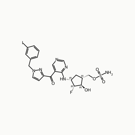 NS(=O)(=O)OC[C@H]1C[C@@H](Nc2ncncc2C(=O)c2ccn(Cc3cccc(I)c3)n2)[C@@H](F)[C@@H]1O